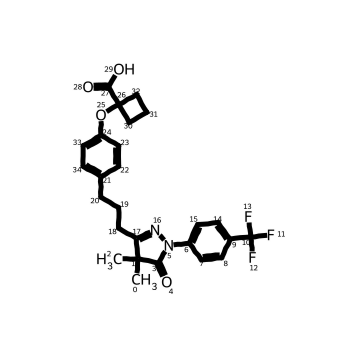 CC1(C)C(=O)N(c2ccc(C(F)(F)F)cc2)N=C1CCCc1ccc(OC2(C(=O)O)CCC2)cc1